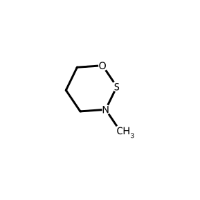 CN1CCCOS1